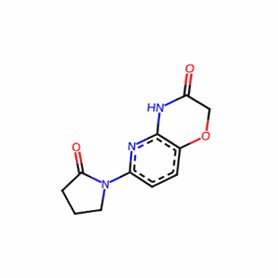 O=C1COc2ccc(N3CCCC3=O)nc2N1